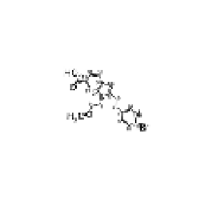 COCCn1c(CCc2ccc(Br)nc2)nc2ccc(C(=O)O)cc21